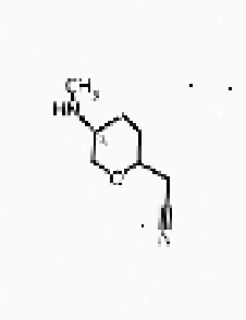 CN[C@H]1CCC(CC#N)OC1